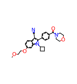 COCCOc1ccc2c(C#N)c(-c3ccc(C(=O)N4CCOCC4)cc3)n(C3CCC3)c2c1